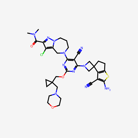 CN(C)C(=O)c1nn2c(c1Cl)CN(c1nc(OCC3(CN4CCOCC4)CC3)nc(N3CC4(CCc5sc(N)c(C#N)c54)C3)c1C#N)CCC2